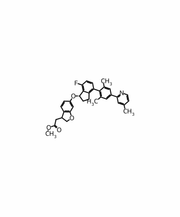 COC(=O)CC1COc2cc(O[C@@H]3CCc4c(-c5c(C)cc(-c6cc(C)ccn6)cc5C)ccc(F)c43)ccc21